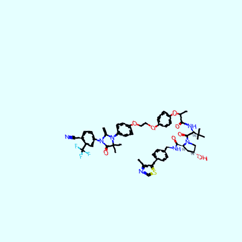 C=C1N(c2ccc(C#N)c(C(F)(F)F)c2)C(=O)C(C)(C)N1c1ccc(OCCOc2ccc(OC(C)C(=O)N[C@H](C(=O)N3C[C@H](O)C[C@H]3C(=O)NCc3ccc(-c4scnc4C)cc3)C(C)(C)C)cc2)cc1